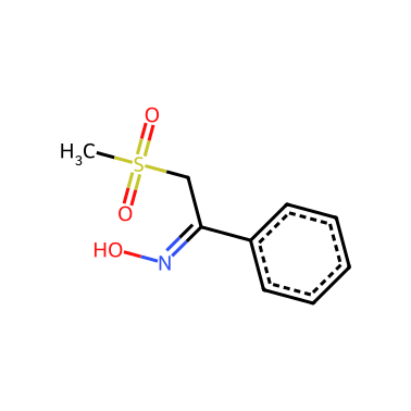 CS(=O)(=O)CC(=NO)c1ccccc1